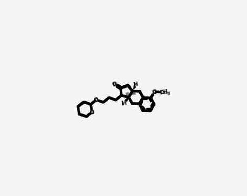 COc1cccc2c1C[C@@H]1CC(=O)C(CCCOC3CCCCO3)[C@H]1C2